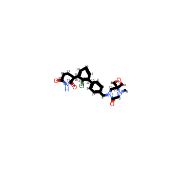 CN1CC(=O)N(Cc2ccc(-c3cccc(C4CCC(=O)NC4=O)c3Cl)cc2)CC12COC2